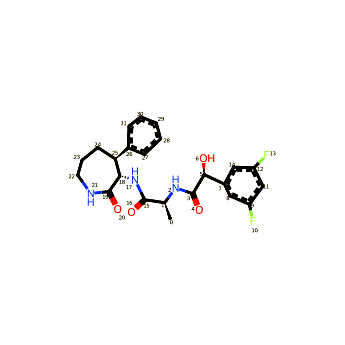 C[C@H](NC(=O)[C@@H](O)c1cc(F)cc(F)c1)C(=O)N[C@@H]1C(=O)NCCC[C@H]1c1ccccc1